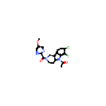 COc1cnc(C(=O)N2CCc3c(c4ccc(Cl)c(Cl)c4n3C(C)=O)C2)nc1